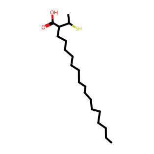 CCCCCCCCCCCCCCCCC(C(=O)O)C(C)S